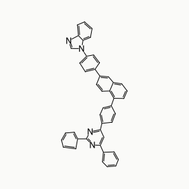 c1ccc(-c2cc(-c3ccc(-c4cccc5cc(-c6ccc(-n7cnc8ccccc87)cc6)ccc45)cc3)nc(-c3ccccc3)n2)cc1